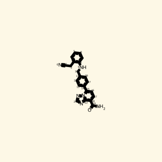 N#CCc1ccccc1NCc1ccc(-c2ccc(C(N)=O)c3n[c]nn23)cc1